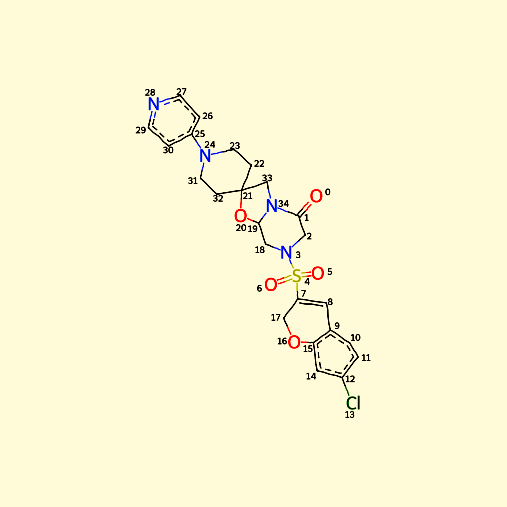 O=C1CN(S(=O)(=O)C2=Cc3ccc(Cl)cc3OC2)CC2OC3(CCN(c4ccncc4)CC3)CN12